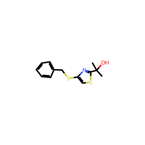 CC(C)(O)c1nc(SCc2ccccc2)cs1